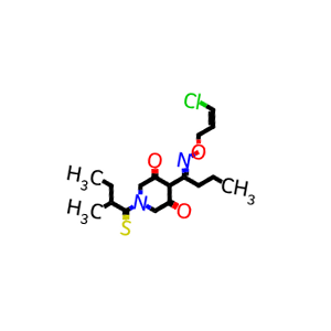 CCCC(=NOC/C=C\Cl)C1C(=O)CN(C(=S)C(C)CC)CC1=O